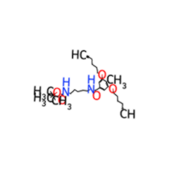 C#CCCCCOc1cc(C(=O)NCCCCCNC(=O)OC(C)(C)C)cc(OCCCCC#C)c1C